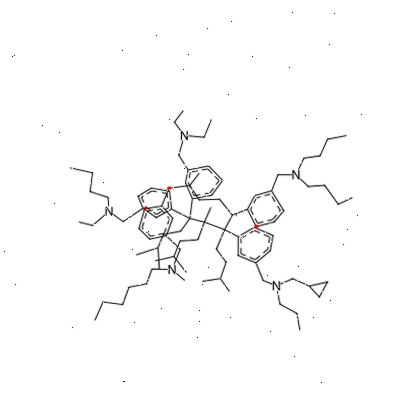 CCCCCCN(C)Cc1cccc(CC(C)CC[C](c2cccc(CN(CCCC)CCCC)c2)C(CCC(C)C)(c2cccc(CN(CCC)CC3CC3)c2)C(C)(CCC(C)C)C(CCC(C)C)(c2cccc(CN(CC)CC)c2)c2cccc(CN(CC)CCCC)c2)c1